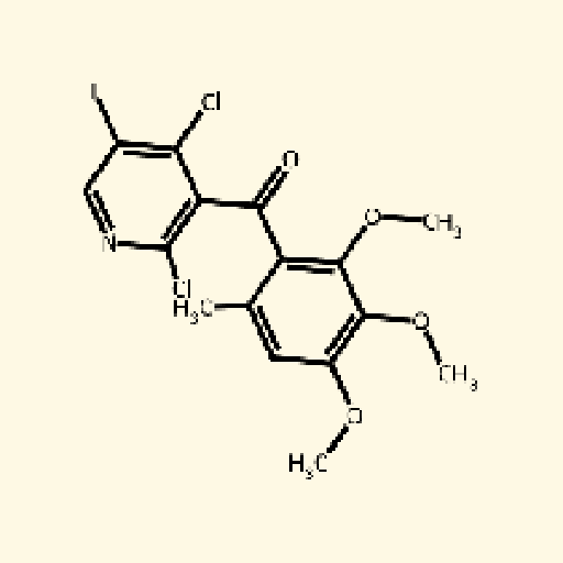 COc1cc(C)c(C(=O)c2c(Cl)ncc(I)c2Cl)c(OC)c1OC